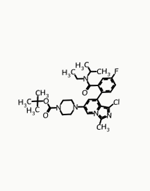 CCN(C(=O)c1cc(F)ccc1-c1cc(N2CCN(C(=O)OC(C)(C)C)CC2)cn2c(C)nc(Cl)c12)C(C)C